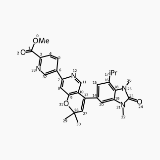 COC(=O)c1ccc(-c2cc3c(cn2)C(c2cc(C(C)C)c4c(c2)n(C)c(=O)n4C)=CC(C)(C)O3)cn1